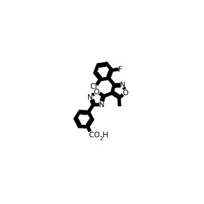 Cc1onc(-c2c(F)cccc2Cl)c1-c1nc(-c2cccc(C(=O)O)c2)no1